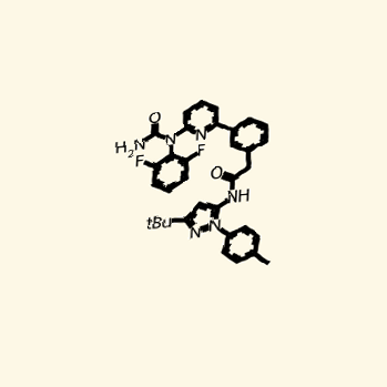 Cc1ccc(-n2nc(C(C)(C)C)cc2NC(=O)Cc2cccc(-c3cccc(N(C(N)=O)c4c(F)cccc4F)n3)c2)cc1